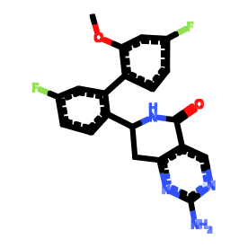 COc1cc(F)ccc1-c1cc(F)ccc1C1Cc2nc(N)ncc2C(=O)N1